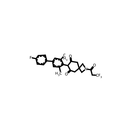 Cc1cc(-c2ccc(F)cc2)cc(C)c1C1C(=O)CC2(CC1=O)CN(C(=O)CC(F)(F)F)C2